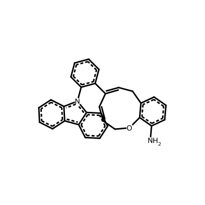 Nc1cccc2c1OC/C=C\C(c1ccccc1-n1c3ccccc3c3ccccc31)=C/C2